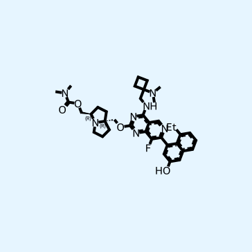 CCc1cccc2cc(O)cc(-c3ncc4c(NCC5(N(C)C)CCC5)nc(OC[C@]56CCCN5[C@@H](COC(=O)N(C)C)CC6)nc4c3F)c12